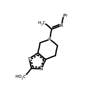 C/C(=N\C(C)C)N1CCc2nc(C(=O)O)sc2C1